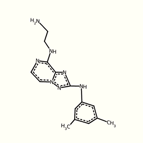 Cc1cc(C)cc(Nc2nc3c(NCCN)nccn3n2)c1